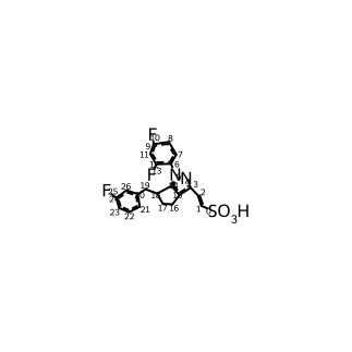 O=S(=O)(O)C=Cc1nn(-c2ccc(F)cc2F)c2c1CCC2Cc1cccc(F)c1